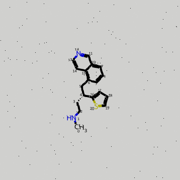 CNCC[C@H](Cc1cccc2cnccc12)c1cccs1